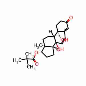 CC(C)(C)C(=O)O[C@H]1CC[C@H]2[C@@]3(O)C=CC4=CC(=O)CC[C@]4(CO)[C@H]3CC[C@]12C